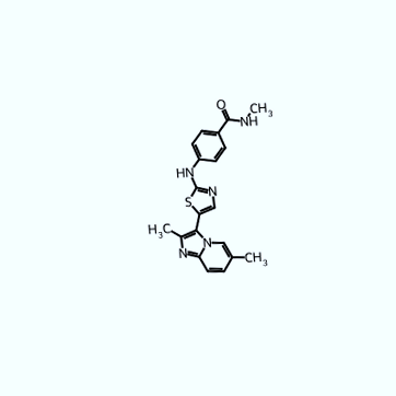 CNC(=O)c1ccc(Nc2ncc(-c3c(C)nc4ccc(C)cn34)s2)cc1